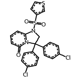 O=c1cccc2n1C(c1ccc(Cl)cc1)(c1ccc(Cl)cc1)CN2S(=O)(=O)c1ccsc1